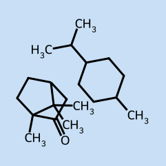 CC12CCC(CC1=O)C2(C)C.CC1CCC(C(C)C)CC1